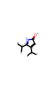 CC(C)C1=CC(=O)N=C1C(C)C